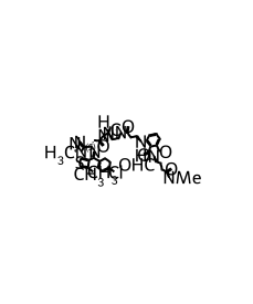 CNC(=O)CCC(C=O)N1C(=O)c2cccc(NCCC(=O)N3CCN(NC(=O)C[C@@H]4N=C(C5=CC=C(Cl)CC5)c5c(sc(C)c5C)-n5c(C)nnc54)CC3)c2C1=O